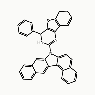 C1=Cc2c(sc3c2N=C(n2c4cc5ccccc5cc4c4c5ccccc5ccc42)NC3c2ccccc2)CC1